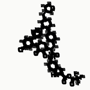 O=C(OC(=O)C(F)(F)F)c1cc2cc(NC(=O)[C@H](Cc3ccc(N4CCN(C[C@@H]5CCOC5)CC4=O)cc3)N3CCN(c4cc(Cl)ccc4-n4cnnn4)C(=O)C3=O)ccc2[nH]1